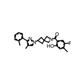 Cc1cc(O)c(C(=O)N2CC3(CC(n4cc(C)c(-c5ccccc5C)n4)C3)C2)cc1F